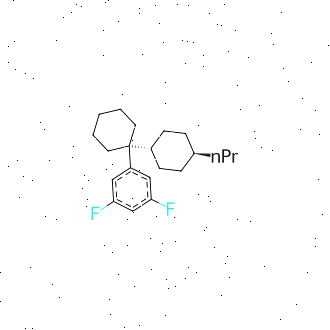 CCC[C@H]1CC[C@H](C2(c3cc(F)cc(F)c3)CCCCC2)CC1